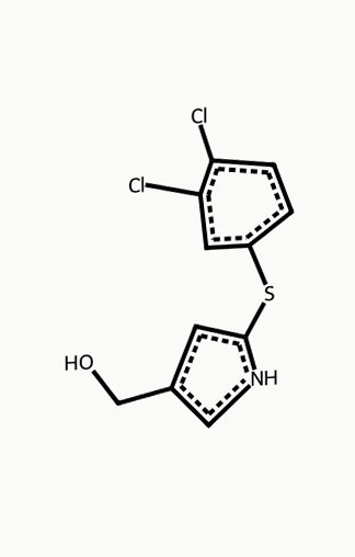 OCc1c[nH]c(Sc2ccc(Cl)c(Cl)c2)c1